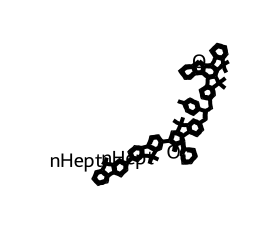 CCCCCCCC1(CCCCCCC)c2ccccc2-c2ccc(-c3ccc4c(c3)C(C)(C)c3cc(-c5cc6c(c7c5oc5ccccc57)-c5ccc(/C=C(/Cc7ccc8c(c7)C(C)(C)c7c9c(c%10oc%11ccccc%11c%10c7-8)-c7ccccc7C9(C)C)c7ccc(C)cc7)cc5C6(C)C)ccc3-4)cc21